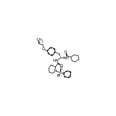 C=CCOc1ccc(C[C@@H](NC(=O)C2CCCCC2)NC(=O)C2CCCCN2S(=O)(=O)c2ccccc2)cc1